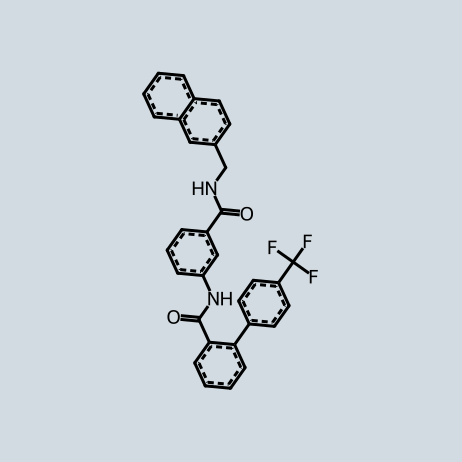 O=C(NCc1ccc2ccccc2c1)c1cccc(NC(=O)c2ccccc2-c2ccc(C(F)(F)F)cc2)c1